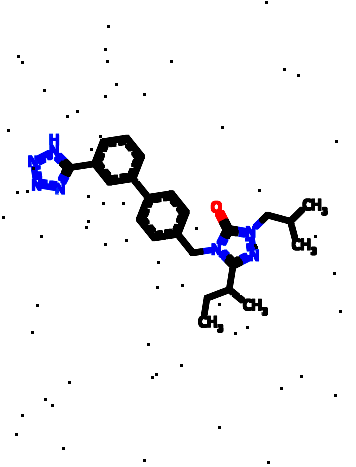 CCC(C)c1nn(CC(C)C)c(=O)n1Cc1ccc(-c2cccc(-c3nnn[nH]3)c2)cc1